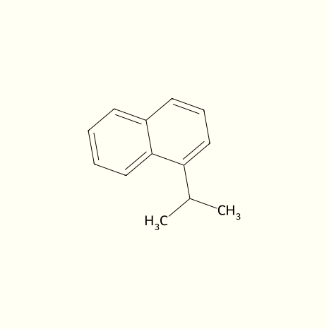 CC(C)c1cccc2ccccc12